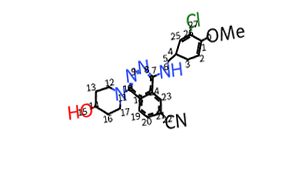 COC1=CCC(CNc2nnc(N3CCC(O)CC3)c3ccc(C#N)cc23)C=C1Cl